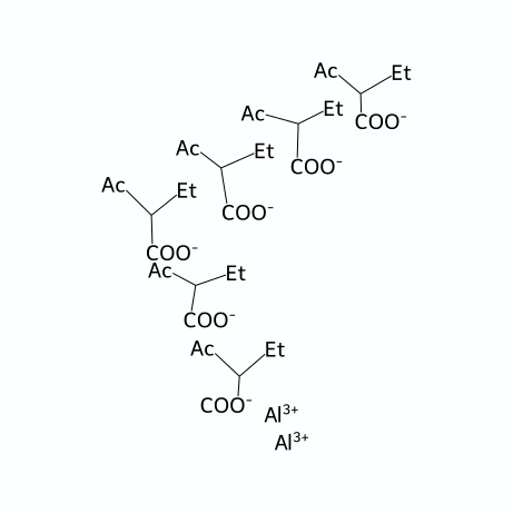 CCC(C(C)=O)C(=O)[O-].CCC(C(C)=O)C(=O)[O-].CCC(C(C)=O)C(=O)[O-].CCC(C(C)=O)C(=O)[O-].CCC(C(C)=O)C(=O)[O-].CCC(C(C)=O)C(=O)[O-].[Al+3].[Al+3]